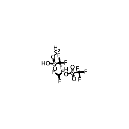 FC(F)F.O=S(=O)(O)C(F)(F)F.O=S(=O)(O)C(F)(F)F.S